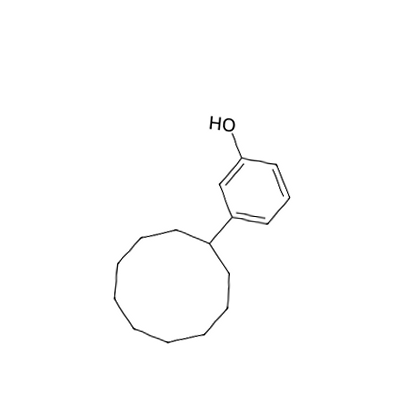 Oc1cccc(C2CCCCCCCCC2)c1